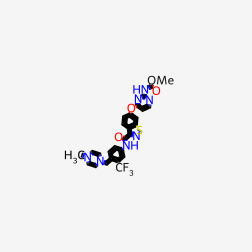 COC(=O)Nc1nccc(Oc2ccc3c(C(=O)Nc4ccc(CN5CCN(C)CC5)c(C(F)(F)F)c4)nsc3c2)n1